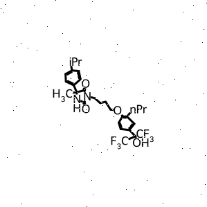 CCCc1cc(C(O)(C(F)(F)F)C(F)(F)F)ccc1OCCCCN1C(=O)NC(C)(c2ccc(C(C)C)cc2)C1=O